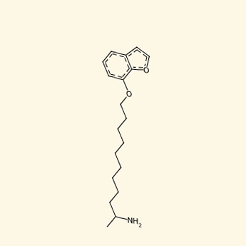 CC(N)CCCCCCCCCOc1cccc2ccoc12